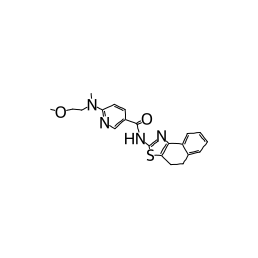 COCCN(C)c1ccc(C(=O)Nc2nc3c(s2)CCc2ccccc2-3)cn1